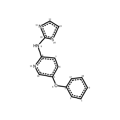 c1ccc(Oc2ccc(Nc3nccs3)nc2)cc1